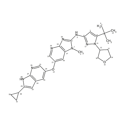 Cn1c(Nc2cc(C(C)(C)C)n(C3CCOC3)n2)nc2ncc(Oc3cnc4[nH]c(C5CC5)cc4c3)cc21